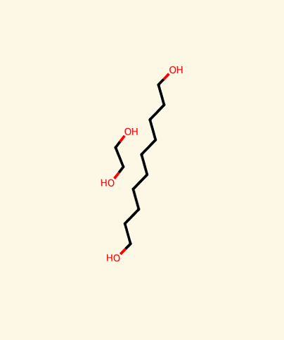 OCCCCCCCCCCO.OCCO